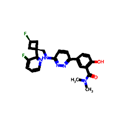 CN(C)C(=O)c1cc(-c2ccc(NC[C@]3(c4ncccc4F)C[C@H](F)C3)nn2)ccc1O